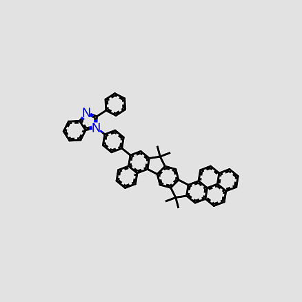 CC1(C)c2cc3c(cc2-c2c1cc(-c1ccc(-n4c(-c5ccccc5)nc5ccccc54)cc1)c1ccccc21)C(C)(C)c1cc2ccc4cccc5ccc(c1-3)c2c45